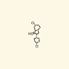 On1c(-c2ccc(Cl)cc2)cc2ccc(Cl)cc21